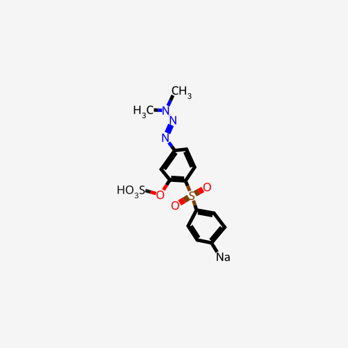 CN(C)N=Nc1ccc(S(=O)(=O)c2cc[c]([Na])cc2)c(OS(=O)(=O)O)c1